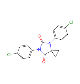 O=C1N(c2ccc(Cl)cc2)C(=O)C2(CC2)N1c1ccc(Cl)cc1